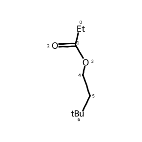 [CH2]CC(=O)OCCC(C)(C)C